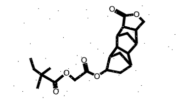 CCC(C)(C)C(=O)OCC(=O)OC1CC2CC1C1C3CC(C4COC(=O)C43)C21